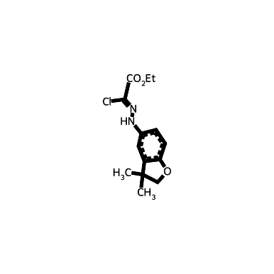 CCOC(=O)/C(Cl)=N/Nc1ccc2c(c1)C(C)(C)CO2